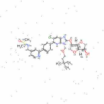 C[Si](C)(C)CCOCn1c(O[C@@H]2CO[C@H]3[C@@H]2OC[C@H]3O)nc2cc(Cl)c(-c3ccc(-c4cc(CN=S(C)(C)=O)ccn4)cc3)nc21